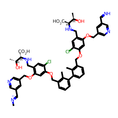 C/N=C/c1cncc(COc2cc(OCc3cccc(-c4cccc(COc5cc(OCc6cncc(C=N)c6)c(CN[C@@H](C(=O)O)[C@@H](C)O)cc5Cl)c4C)c3C)c(Cl)cc2CN[C@@H](C(=O)O)[C@@H](C)O)c1